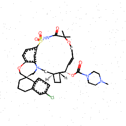 CN1CCN(C(=O)O[C@H]2/C=C/COC(C)(C)C(=O)NS(=O)(=O)c3ccc4c(c3)N(C[C@@H]3CC[C@H]32)C[C@@]2(CCCc3cc(Cl)ccc32)CO4)CC1